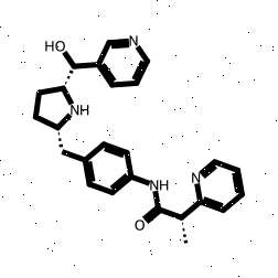 C[C@H](C(=O)Nc1ccc(C[C@@H]2CC[C@H](C(O)c3cccnc3)N2)cc1)c1ccccn1